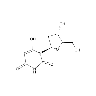 O=c1cc(O)n([C@H]2C[C@H](O)[C@@H](CO)O2)c(=O)[nH]1